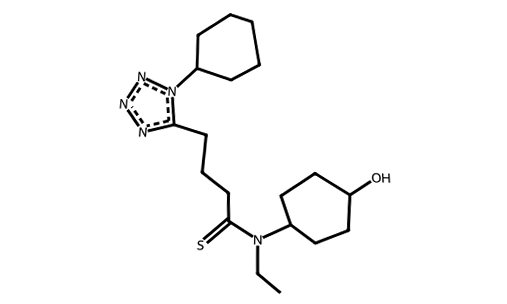 CCN(C(=S)CCCc1nnnn1C1CCCCC1)C1CCC(O)CC1